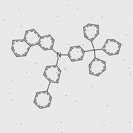 c1ccc(-c2ccc(N(c3ccc(C(c4ccccc4)(c4ccccc4)c4ccccc4)cc3)c3ccc4ccc5ccccc5c4c3)cc2)cc1